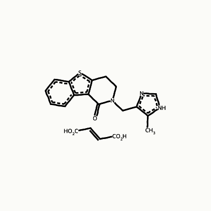 Cc1[nH]cnc1CN1CCc2sc3ccccc3c2C1=O.O=C(O)C=CC(=O)O